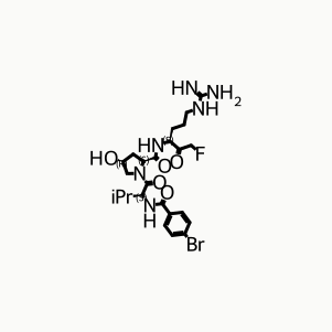 CC(C)[C@H](NC(=O)c1ccc(Br)cc1)C(=O)N1C[C@H](O)C[C@H]1C(=O)N[C@@H](CCCNC(=N)N)C(=O)CF